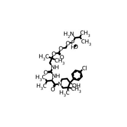 CC(C)[C@@H](N)[PH](=O)OCOC(=O)OC(C)(C)CNC(=O)N[C@@H](C(=O)N1CC[C@](O)(c2ccc(Cl)cc2)C(C)(C)C1)C(C)C